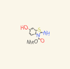 COC(=O)n1c(=N)sc2cc(O)ccc21